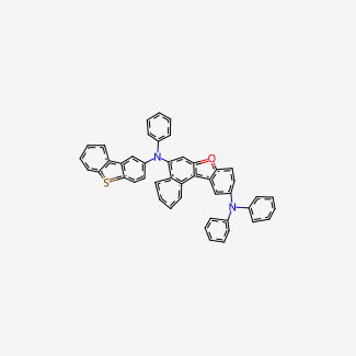 c1ccc(N(c2ccccc2)c2ccc3oc4cc(N(c5ccccc5)c5ccc6sc7ccccc7c6c5)c5ccccc5c4c3c2)cc1